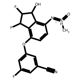 C/[SH](=O)=N\c1ccc(Oc2cc(F)cc(C#N)c2)c2c1C(O)C(F)C2F